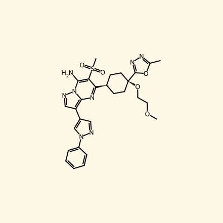 COCCO[C@]1(c2nnc(C)o2)CC[C@H](c2nc3c(-c4cnn(-c5ccccc5)c4)cnn3c(N)c2S(C)(=O)=O)CC1